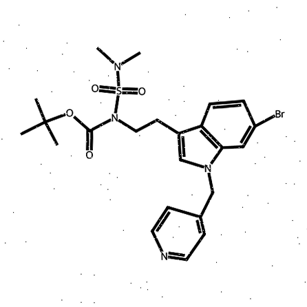 CN(C)S(=O)(=O)N(CCc1cn(Cc2ccncc2)c2cc(Br)ccc12)C(=O)OC(C)(C)C